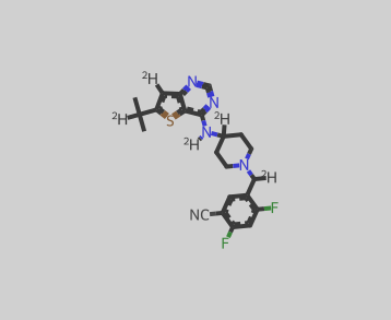 [2H]c1c(C([2H])(C)C)sc2c(N([2H])C3([2H])CCN(C([2H])c4cc(C#N)c(F)cc4F)CC3)ncnc12